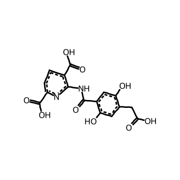 O=C(O)Cc1cc(O)c(C(=O)Nc2nc(C(=O)O)ccc2C(=O)O)cc1O